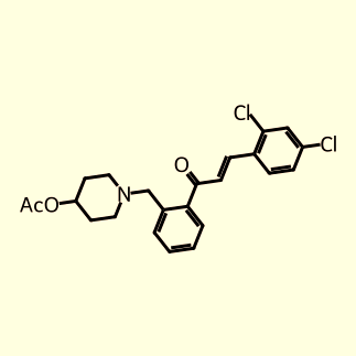 CC(=O)OC1CCN(Cc2ccccc2C(=O)/C=C/c2ccc(Cl)cc2Cl)CC1